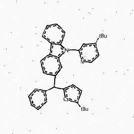 CC(C)(C)c1ccnc(-n2c3ccccc3c3ccc(C(c4ccccc4)c4ccc(C(C)(C)C)o4)cc32)c1